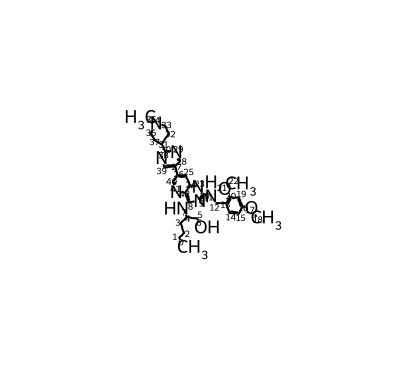 CCCCC(CO)Nc1nc(NCc2ccc(OC)cc2OC)nc2cc(-c3cnc(C4CCN(C)CC4)nc3)cnc12